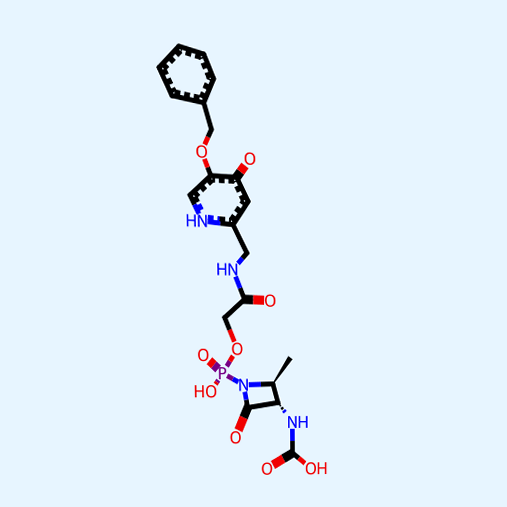 C[C@H]1[C@H](NC(=O)O)C(=O)N1P(=O)(O)OCC(=O)NCc1cc(=O)c(OCc2ccccc2)c[nH]1